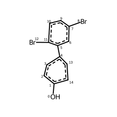 Oc1ccc(-c2cc(Br)ccc2Br)cc1